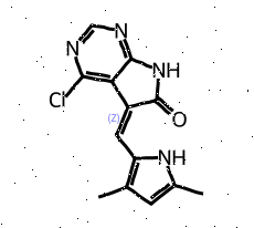 Cc1cc(C)c(/C=C2\C(=O)Nc3ncnc(Cl)c32)[nH]1